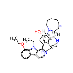 CCOc1cccc2c3ccnc(C4=C[C@@]5(O)CC/C=C/CCCCN6CCC4[C@]4(C[C@@H]7/C=C\CCCCN7[C@H]45)C6)c3n(CC)c12